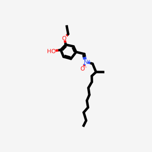 CCCCCCCCCC(C)C[N+]([O-])=Cc1ccc(O)c(OCC)c1